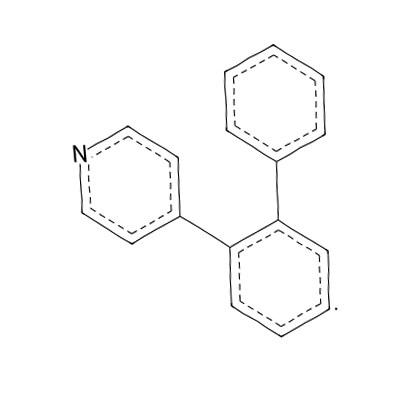 [c]1ccc(-c2ccncc2)c(-c2ccccc2)c1